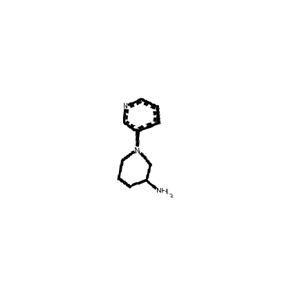 NC1CCCN(c2cccnc2)C1